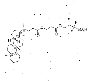 C[C@H](CCC(=O)OCCC(=O)OCC(F)C(F)(F)S(=O)(=O)O)[C@H]1CC[C@H]2[C@@H]3CC[C@@H]4CCCC[C@]4(C)[C@H]3CC[C@]12C